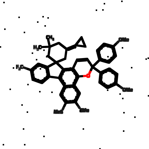 COc1ccc(C2(c3ccc(OC)cc3)C=Cc3c4c(c5cc(SC)c(SC)cc5c3O2)-c2ccc(C(F)(F)F)cc2C42CC(=C3CC3)CC(C)(C)C2)cc1